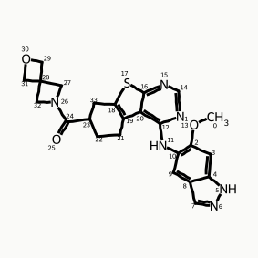 COc1cc2[nH]ncc2cc1Nc1ncnc2sc3c(c12)CCC(C(=O)N1CC2(COC2)C1)C3